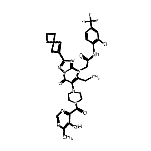 CCc1c(N2CCN(C(=O)c3ncnc(C)c3O)CC2)c(=O)n2nc(C3=CC4(CCC4)C3)nc2n1CC(=O)Nc1ccc(C(F)(F)F)cc1Cl